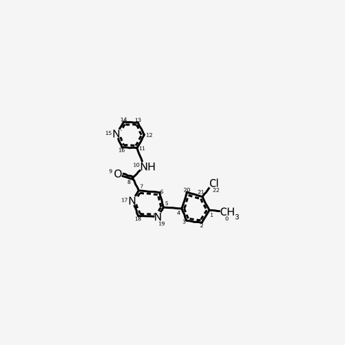 Cc1ccc(-c2cc(C(=O)Nc3cccnc3)ncn2)cc1Cl